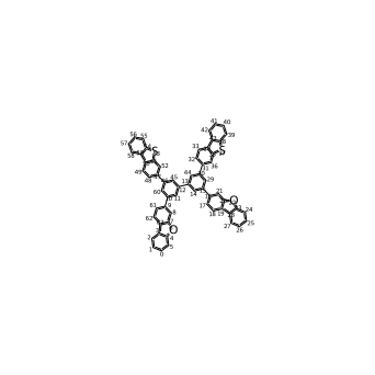 c1ccc2c(c1)oc1cc(-c3cc(-c4cc(-c5ccc6c(c5)oc5ccccc56)cc(-c5ccc6c(c5)sc5ccccc56)c4)cc(-c4ccc5c(c4)sc4ccccc45)c3)ccc12